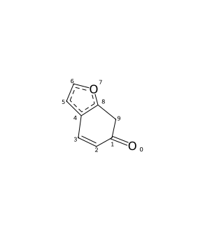 O=C1C=Cc2ccoc2C1